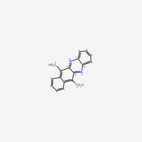 O=C(O)c1c2ccccc2c(C(=O)O)c2nc3ccccc3nc12